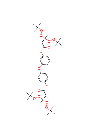 CC(C)(C)OOC(C)(CC(=O)Oc1ccc(Oc2cccc(OC(=O)CC(C)(OOC(C)(C)C)OOC(C)(C)C)c2)cc1)OOC(C)(C)C